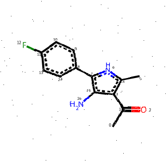 CC(=O)c1c(C)[nH]c(-c2ccc(F)cc2)c1N